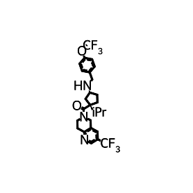 CC(C)[C@]1(C(=O)N2CCc3ncc(C(F)(F)F)cc3C2)CC[C@@H](NCc2ccc(OC(F)(F)F)cc2)C1